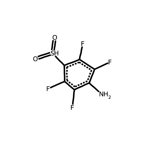 Nc1c(F)c(F)c([SH](=O)=O)c(F)c1F